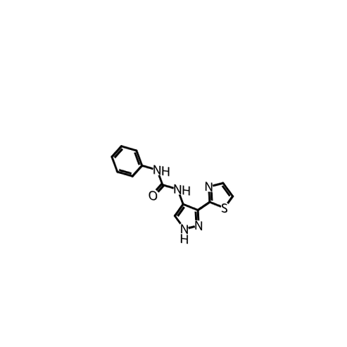 O=C(Nc1ccccc1)Nc1c[nH]nc1-c1nccs1